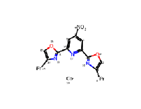 CC(C)c1coc(-c2cc([N+](=O)[O-])cc(-c3nc(C(C)C)co3)n2)n1.[Co]